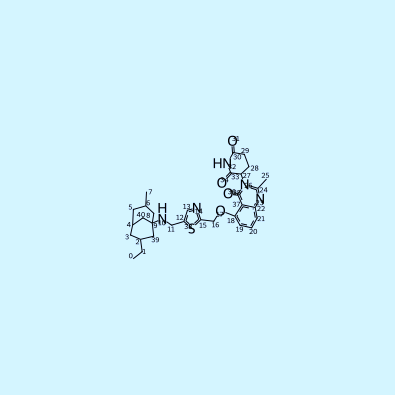 CCC1CC2CC(C)CC(NCc3cnc(COc4cccc5nc(C)n(C6CCC(=O)NC6=O)c(=O)c45)s3)(C1)C2